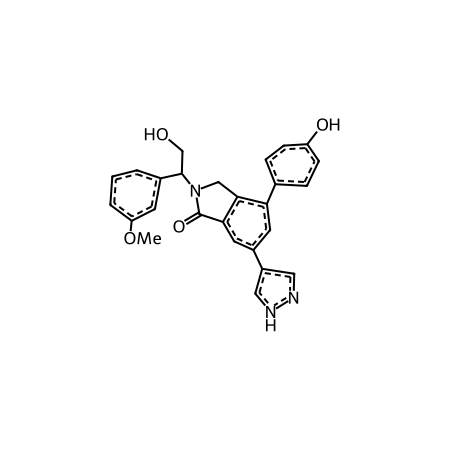 COc1cccc(C(CO)N2Cc3c(cc(-c4cn[nH]c4)cc3-c3ccc(O)cc3)C2=O)c1